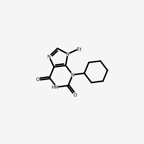 CCn1cnc2c(=O)[nH]c(=O)n(C3CCCCC3)c21